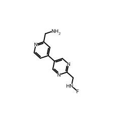 NCc1cc(-c2cnc(CNF)nc2)ccn1